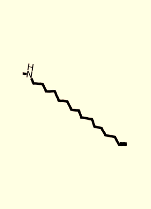 C=CCCCCCCCCCCCCCCNC